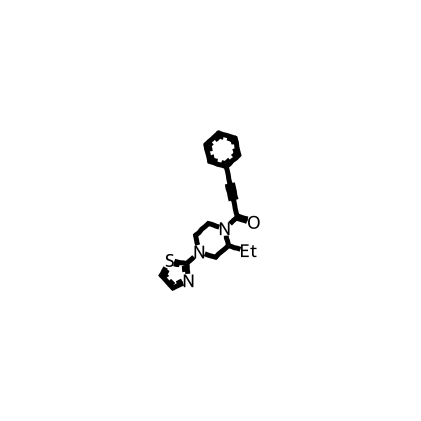 CCC1CN(c2nccs2)CCN1C(=O)C#Cc1ccccc1